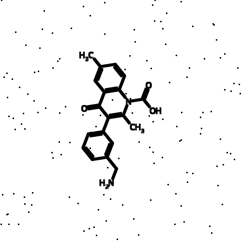 Cc1ccc2c(c1)c(=O)c(-c1cccc(CN)c1)c(C)n2C(=O)O